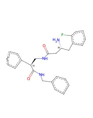 N[C@@H](CC(=O)NC[C@@H](C(=O)NCc1ccccc1)c1ccccc1)Cc1ccccc1F